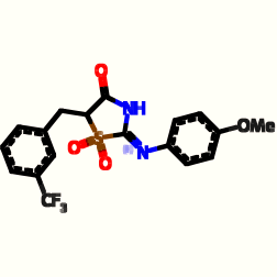 COc1ccc(/N=C2\NC(=O)C(Cc3cccc(C(F)(F)F)c3)S2(=O)=O)cc1